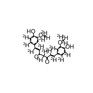 [2H]/C(C(=O)C([2H])([2H])C(=O)/C([2H])=C(\[2H])c1c([2H])c([2H])c(O)c(OC([2H])([2H])[2H])c1[2H])=C(/[2H])c1cc(OC([2H])([2H])[2H])c(O)c([2H])c1[2H]